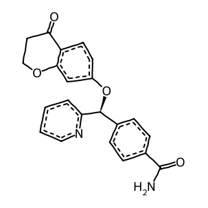 NC(=O)c1ccc([C@H](Oc2ccc3c(c2)OCCC3=O)c2ccccn2)cc1